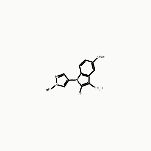 CCCn1cc(-n2c(CC)c(C(=O)O)c3cc(OC)ccc32)cn1